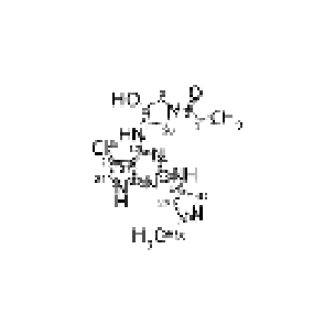 C=CC(=O)N1C[C@@H](O)[C@@H](Nc2nc(Nc3cnn(CC)c3)nc3[nH]cc(Cl)c23)C1